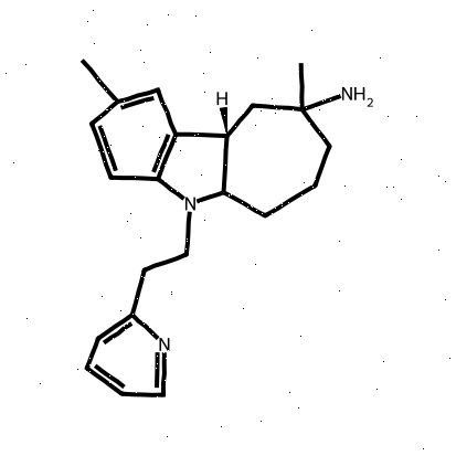 Cc1ccc2c(c1)[C@@H]1CC(C)(N)CCCC1N2CCc1ccccn1